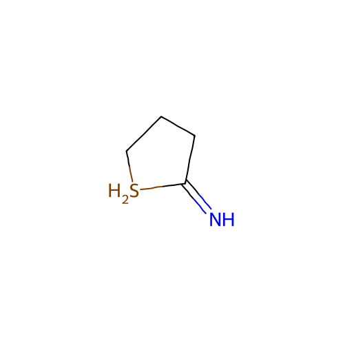 N=C1CCC[SH2]1